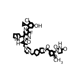 COc1ccc(C(=O)N2CCC3(CCC(CN4CCN(CC5(COc6nc(C7CC8CCN(C8)N7)c7cnc(-c8cc(O)cc(Cl)c8C8CC8)c(F)c7n6)CC5)CC4)CC3)CC2)cc1N1CCC(=O)NC1=O